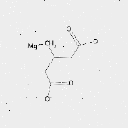 CC(CC(=O)[O-])CC(=O)[O-].[Mg+2]